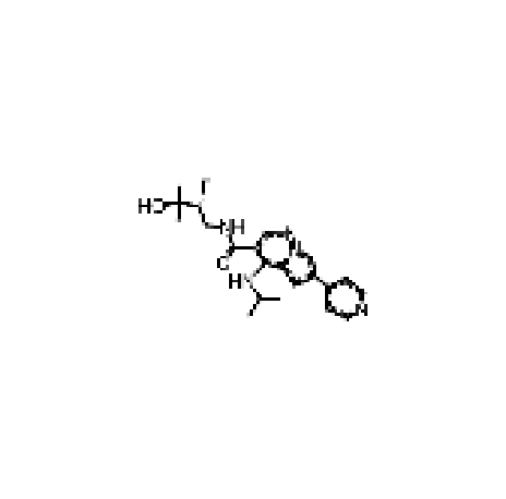 CC(C)Nc1c(C(=O)NC[C@@H](F)C(C)(C)O)cnn2cc(-c3ccncc3)cc12